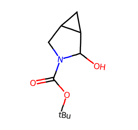 CC(C)(C)OC(=O)N1CC2CC2C1O